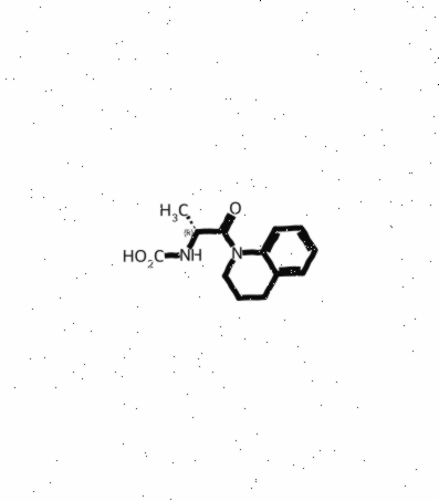 C[C@@H](NC(=O)O)C(=O)N1CCCc2ccccc21